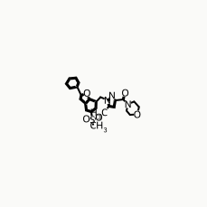 Cc1cc(C(=O)N2CCOCC2)nn1Cc1cc(S(C)(=O)=O)cc2cc(-c3ccccc3)oc12